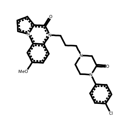 COc1ccc2c(c1)n1cccc1c(=O)n2CCCN1CCN(c2ccc(Cl)cc2)C(=O)C1